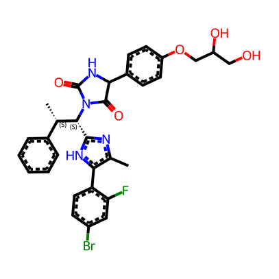 Cc1nc([C@H]([C@@H](C)c2ccccc2)N2C(=O)NC(c3ccc(OCC(O)CO)cc3)C2=O)[nH]c1-c1ccc(Br)cc1F